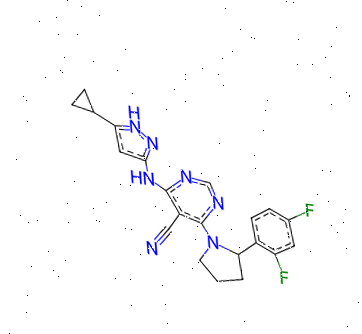 N#Cc1c(Nc2cc(C3CC3)[nH]n2)ncnc1N1CCCC1c1ccc(F)cc1F